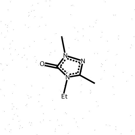 CCn1c(C)nn(C)c1=O